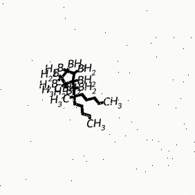 BC1C(B)(B)C(B)(B)C(B)(C)C1(B)C(B)(B)C(C)(CCCCC)CCCCC